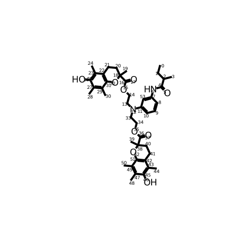 CCC(C)C(=O)Nc1cccc(N(CCOC(=O)C2(C)CCc3c(C)c(O)c(C)c(C)c3O2)CCOC(=O)C2(C)CCc3c(C)c(O)c(C)c(C)c3O2)c1